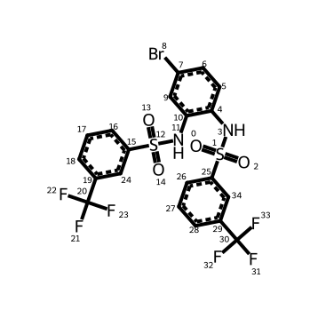 O=S(=O)(Nc1ccc(Br)cc1NS(=O)(=O)c1cccc(C(F)(F)F)c1)c1cccc(C(F)(F)F)c1